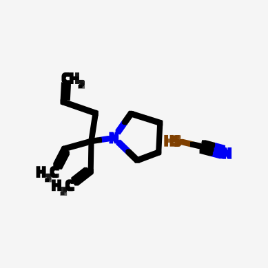 C=CCC(C=C)(C=C)N1CCCC1.N#CS